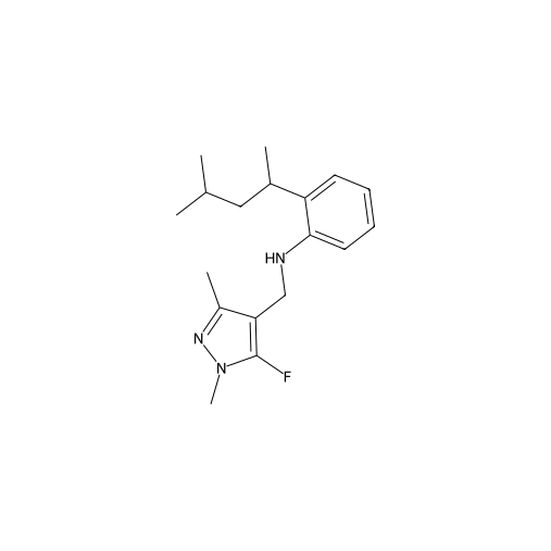 Cc1nn(C)c(F)c1CNc1ccccc1C(C)CC(C)C